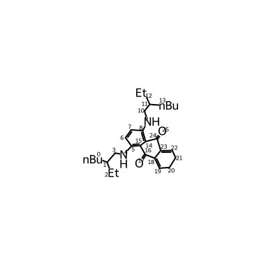 CCCCC(CC)CNc1ccc(NCC(CC)CCCC)c2c1C(=O)C1=CCCC=C1C2=O